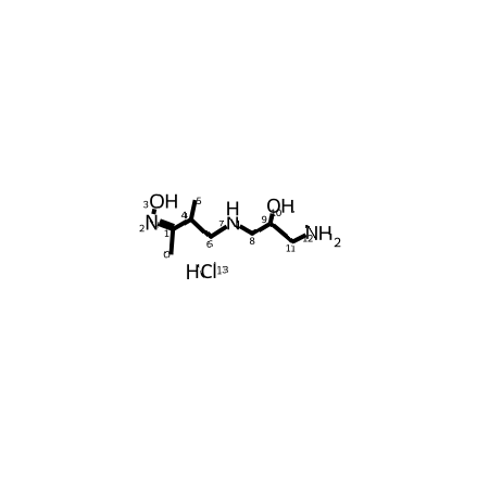 CC(=NO)C(C)CNCC(O)CN.Cl